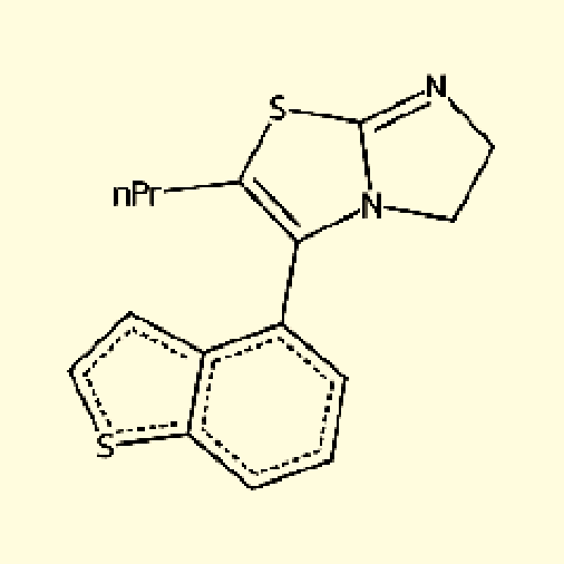 CCCC1=C(c2cccc3sccc23)N2CCN=C2S1